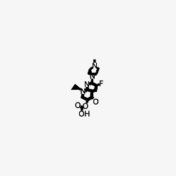 CN1CC2CC1CN2c1nc2c(cc1F)c(=O)c(OC(=O)O)cn2C1CC1